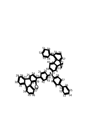 CC1(C)c2cc(N(c3ccc(-c4ccccc4)cc3)c3ccc(-c4ccc5c6ccccc6c6cccc7oc4c5c76)cc3)ccc2-c2c(-c3ccccc3)cccc21